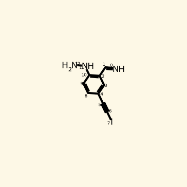 N=Cc1cc(C#CI)ccc1NN